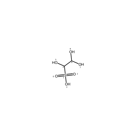 O=S(=O)(O)C(O)C(O)O